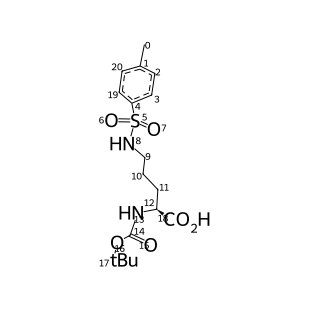 Cc1ccc(S(=O)(=O)NCCC[C@H](NC(=O)OC(C)(C)C)C(=O)O)cc1